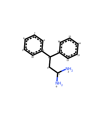 NC(N)CC(c1ccccc1)c1ccccc1